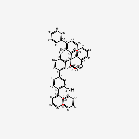 c1ccc(Nc2cc(-c3ccc4c(c3)C3(c5ccccc5Oc5ccccc53)c3cccc(-c5ccccc5)c3O4)ccc2-c2ccccc2)cc1